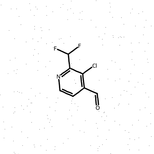 O=Cc1ccnc(C(F)F)c1Cl